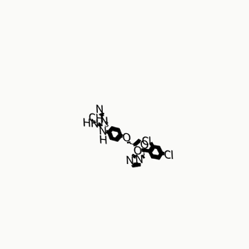 CNC(=NC#N)Nc1ccc(OC[C@@H]2CO[C@@](Cn3ccnc3)(c3ccc(Cl)cc3Cl)O2)cc1